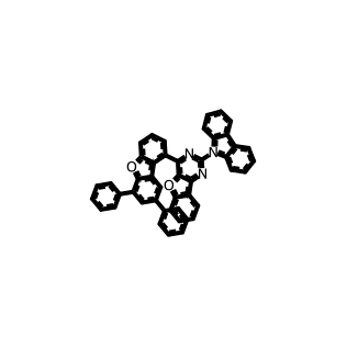 c1ccc(-c2cc(-c3ccccc3)c3oc4cccc(-c5nc(-n6c7ccccc7c7ccccc76)nc6c5oc5ccccc56)c4c3c2)cc1